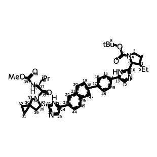 CCC1CCN(C(=O)OC(C)(C)C)C1c1ncc(-c2ccc(-c3ccc4cc(-c5cnc([C@@H]6CC7(CC7)CN6C(=O)[C@@H](NC(=O)OC)C(C)C)[nH]5)ccc4c3)cc2)[nH]1